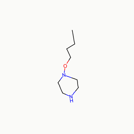 CCCCON1CCNCC1